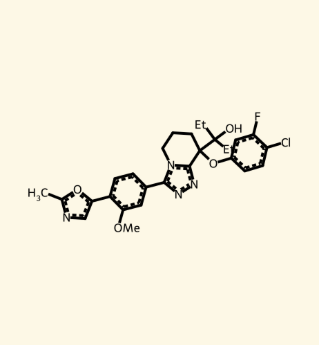 CCC(O)(CC)C1(Oc2ccc(Cl)c(F)c2)CCCn2c(-c3ccc(-c4cnc(C)o4)c(OC)c3)nnc21